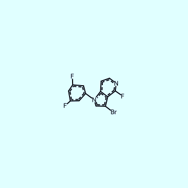 Fc1cc(F)cc(-n2cc(Br)c3c(F)nccc32)c1